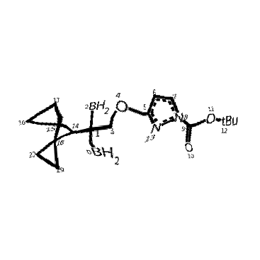 BC(B)(COc1ccn(C(=O)OC(C)(C)C)n1)C1C2(CC2)C12CC2